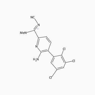 CN/C(=N\C#N)c1ccc(-c2cc(Cl)cc(Cl)c2Cl)c(N)n1